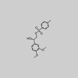 COc1ccc([C@@H](O)COS(=O)(=O)c2ccc(C)cc2)cc1OC